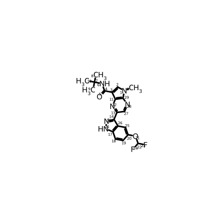 Cn1cc(C(=O)NC(C)(C)C)c2nc(-c3n[nH]c4ccc(OC(F)F)cc34)cnc21